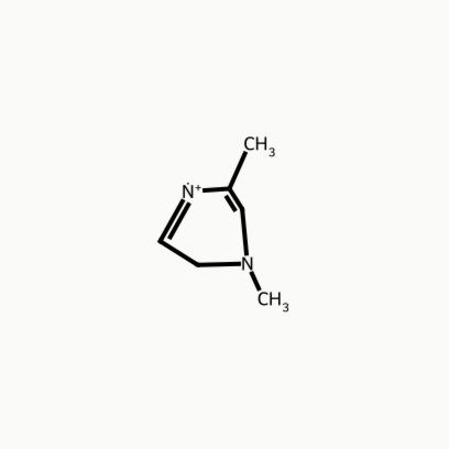 CC1=CN(C)CC=[N+]1